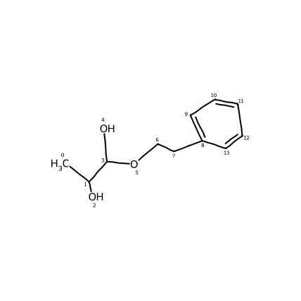 CC(O)C(O)OCCc1ccccc1